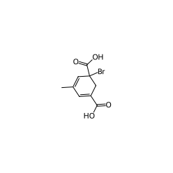 CC1=CC(Br)(C(=O)O)CC(C(=O)O)=C1